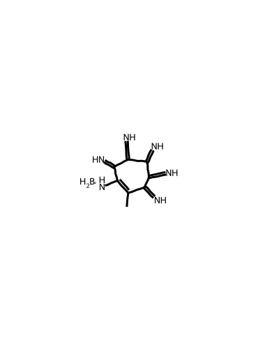 BNc1c(C)c(=N)c(=N)c(=N)c(=N)c1=N